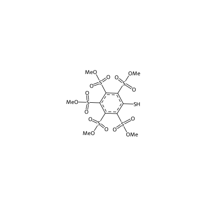 COS(=O)(=O)c1c(S)c(S(=O)(=O)OC)c(S(=O)(=O)OC)c(S(=O)(=O)OC)c1S(=O)(=O)OC